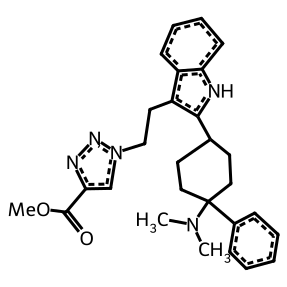 COC(=O)c1cn(CCc2c(C3CCC(c4ccccc4)(N(C)C)CC3)[nH]c3ccccc23)nn1